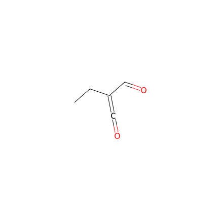 C[CH]C(=C=O)C=O